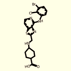 O=C(O)C1CCC(NCc2nc3c(Nc4cccc(Br)c4Cl)nccc3s2)CC1